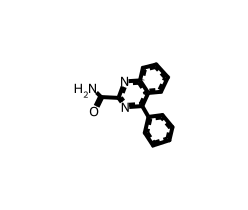 NC(=O)c1nc(-c2ccccc2)c2ccccc2n1